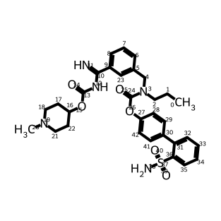 CCCN(Cc1cccc(C(=N)NC(=O)OC2CCN(C)CC2)c1)C(=O)Oc1ccc(-c2ccccc2S(N)(=O)=O)cc1